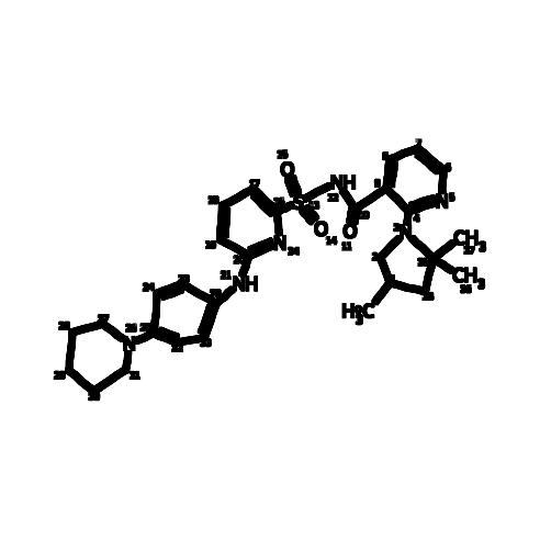 CC1CN(c2ncccc2C(=O)NS(=O)(=O)c2cccc(Nc3ccc(N4CCCCC4)cc3)n2)C(C)(C)C1